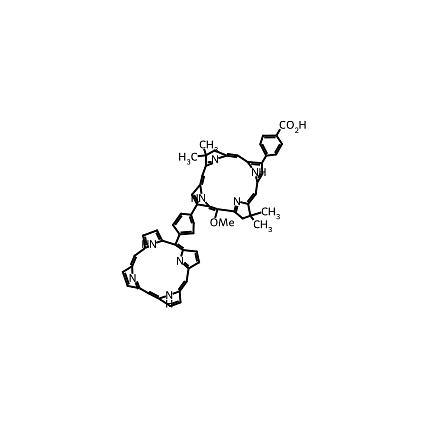 COc1c2nc(cc3cc(-c4ccc(C(=O)O)cc4)c(cc4nc(cc5cc(-c6ccc(-c7c8nc(cc9ccc(cc%10nc(cc%11ccc7[nH]%11)C=C%10)[nH]9)C=C8)cc6)c1[nH]5)C(C)(C)C4)[nH]3)C(C)(C)C2